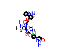 CC(C)(CNC(=O)COc1ccc(C2=NNC(=O)CC2)cc1Cl)NCC(O)COc1ccc(Br)c2[nH]c3ccccc3c12